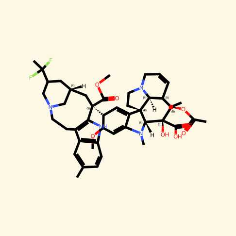 CC[C@]12C=CCN3CC[C@@]4(C5=CC([C@@]6(C(=O)OC)C[C@H]7CC(C(C)(F)F)CN(CCc8c6[nH]c6ccc(C)cc86)C7)C(OC)C=C5N(C)[C@H]4[C@@](O)(C(=O)O)[C@@H]1OC(C)=O)[C@@H]32